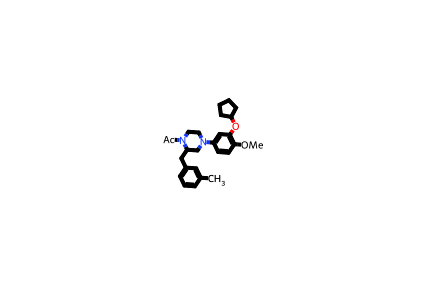 COc1ccc(N2CCN(C(C)=O)C(Cc3cccc(C)c3)C2)cc1OC1CCCC1